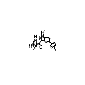 Cc1ccc(-c2ccc3[nH]nc(C(=O)[C@@]45C[C@@H](CN4)N(C)C5)c3c2)s1